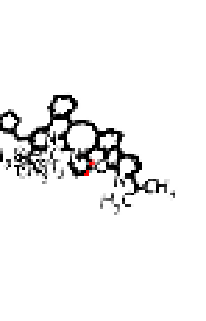 C=C1C2C(CCc3ccc4c(oc5nc(C(C)C)ccc54)c3-c3c4c(cc[n+]31)CCCC4)c1ccccc1-c1cc(CC3CCCC3)c([Si](C)(C)C)c[n+]12